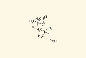 C[N+](C)(C)C.C[N+](C)(C)CCO.[Cl-].[F-]